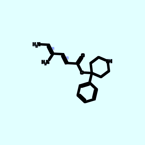 N/C=C(N)/C=C/C(=O)OC1(c2ccccc2)CCNCC1